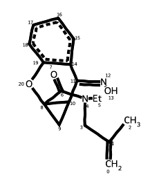 C=C(C)CN(CC)C(=O)C12CC1C(=NO)c1ccccc1O2